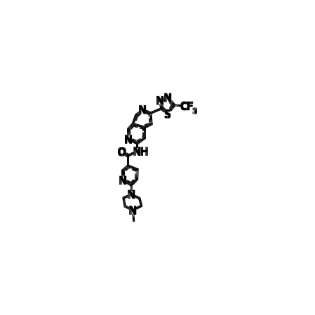 CN1CCN(c2ccc(C(=O)Nc3cc4cc(-c5nnc(C(F)(F)F)s5)ncc4cn3)cn2)CC1